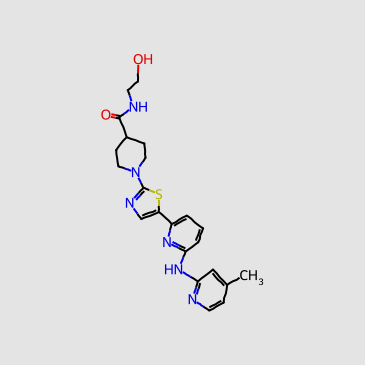 Cc1ccnc(Nc2cccc(-c3cnc(N4CCC(C(=O)NCCO)CC4)s3)n2)c1